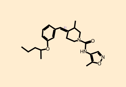 CCCC(C)Oc1cccc(/C=C2\CCN(C(=O)Nc3cnoc3C)CC2C)c1